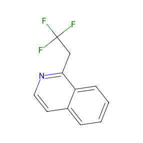 FC(F)(F)Cc1nccc2ccccc12